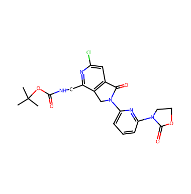 CC(C)(C)OC(=O)NCc1nc(Cl)cc2c1CN(c1cccc(N3CCOC3=O)n1)C2=O